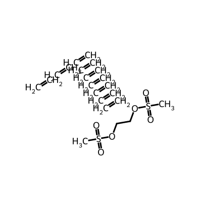 C=C.C=C.C=C.C=C.C=C.C=C.C=C.C=C.C=C.CS(=O)(=O)OCCOS(C)(=O)=O